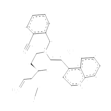 C=C[C@@H](CI)[C@H]1CCN(Cc2ccccc2C#N)[C@H]([C@H](O)c2ccnc3ccccc23)C1